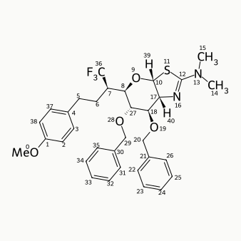 COc1ccc(CC[C@H]([C@H]2O[C@@H]3SC(N(C)C)=N[C@@H]3[C@@H](OCc3ccccc3)[C@@H]2OCc2ccccc2)C(F)(F)F)cc1